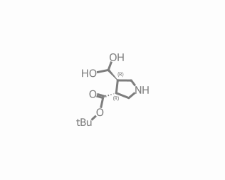 CC(C)(C)OC(=O)[C@H]1CNC[C@@H]1C(O)O